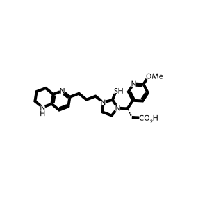 COc1ccc([C@H](CC(=O)O)N2CCN(CCCc3ccc4c(n3)CCCN4)C2S)cn1